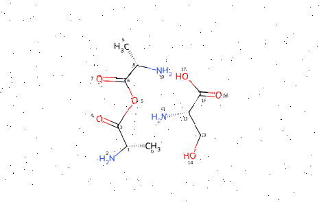 C[C@H](N)C(=O)OC(=O)[C@H](C)N.N[C@@H](CO)C(=O)O